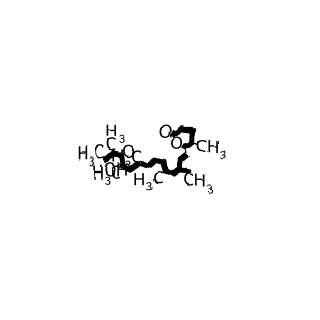 CCC(=C/[C@H](C)C/C=C/C(C)=C/[C@@H](C)C(=O)[C@@H](C)[C@@H](C)O)/C=C/[C@@H]1OC(=O)C=C[C@@H]1C